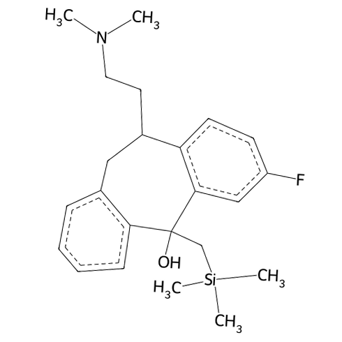 CN(C)CCC1Cc2ccccc2C(O)(C[Si](C)(C)C)c2cc(F)ccc21